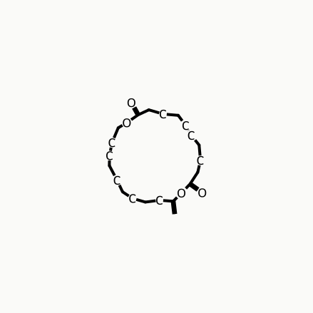 C=C1CCCCCCCCCOC(=O)CCCCCCCCC(=O)O1